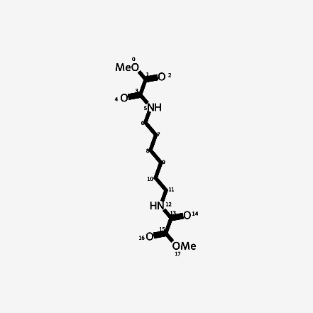 COC(=O)C(=O)NCCCCCCNC(=O)C(=O)OC